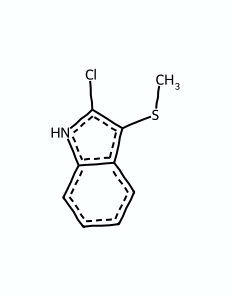 CSc1c(Cl)[nH]c2ccccc12